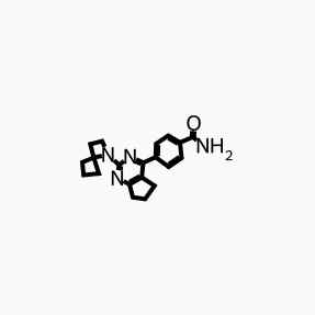 NC(=O)c1ccc(-c2nc(N3CCC34CCC4)nc3c2CCC3)cc1